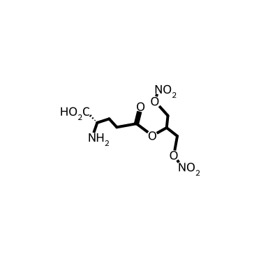 N[C@@H](CCC(=O)OC(CO[N+](=O)[O-])CO[N+](=O)[O-])C(=O)O